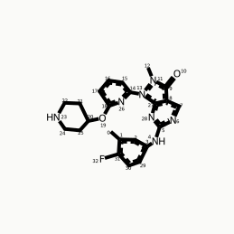 Cc1cc(Nc2ncc3c(=O)n(C)n(-c4cccc(OC5CCNCC5)n4)c3n2)ccc1F